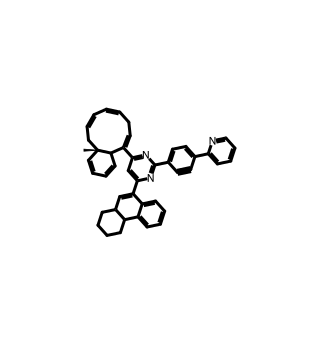 C[C@]12C=CC=CC1/C(c1cc(C3=CC4CCCCC4c4ccccc43)nc(-c3c#cc(-c4ccccn4)cc3)n1)=C\C/C=C\C=C/C2